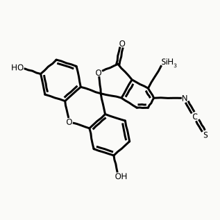 O=C1OC2(c3ccc(O)cc3Oc3cc(O)ccc32)c2ccc(N=C=S)c([SiH3])c21